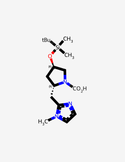 Cn1ccnc1C[C@@H]1C[C@@H](O[Si](C)(C)C(C)(C)C)CN1C(=O)O